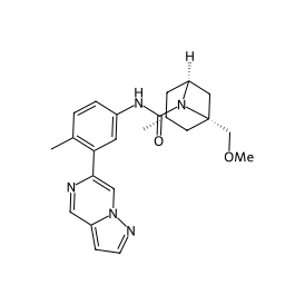 COC[C@@]12C[C@H](C)C[C@@H](C1)N2C(=O)Nc1ccc(C)c(-c2cn3nccc3cn2)c1